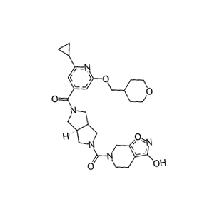 O=C(c1cc(OCC2CCOCC2)nc(C2CC2)c1)N1CC2CN(C(=O)N3CCc4c(O)noc4C3)C[C@H]2C1